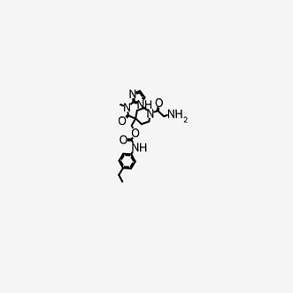 CCc1ccc(NC(=O)OCC2(C(=O)N(C)c3ncc[nH]3)CCN(C(=O)CN)CC2)cc1